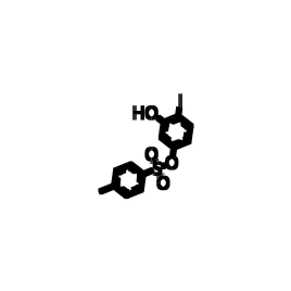 Cc1ccc(S(=O)(=O)Oc2ccc(I)c(O)c2)cc1